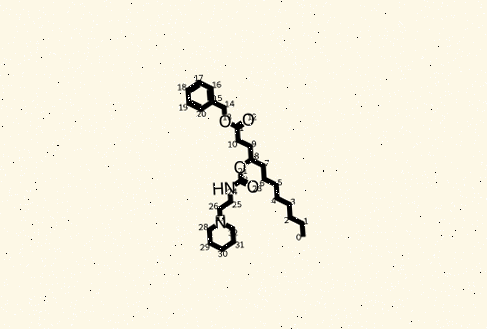 CCCCCCCCC(CCC(=O)OCc1ccccc1)OC(=O)NCCN1CCCCC1